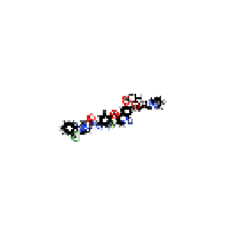 COc1cc2c(Oc3ccc(NC(=O)N4C=CN(c5ccccc5Cl)C4)cc3F)ccnc2cc1OCCCN1CCCC1